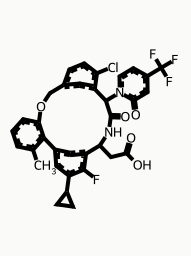 Cc1cccc2c1-c1cc(C3CC3)c(F)c(c1)C(CC(=O)O)NC(=O)C(n1ccc(C(F)(F)F)cc1=O)c1cc(ccc1Cl)CO2